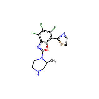 C[C@H]1CNCCN1c1nc2c(F)c(F)c(F)c(-c3nccs3)c2o1